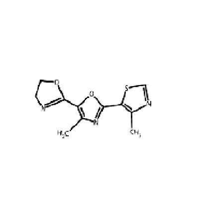 Cc1nc(-c2s[c]nc2C)oc1C1=NCCO1